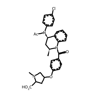 CC(=O)N(c1ccc(Cl)cc1)[C@@H]1C[C@H](C)N(C(=O)c2ccc(OC3CC(C(=O)O)N(C)C3)cc2)c2ccccc21